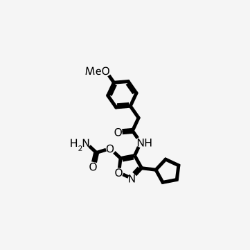 COc1ccc(CC(=O)Nc2c(C3CCCC3)noc2OC(N)=O)cc1